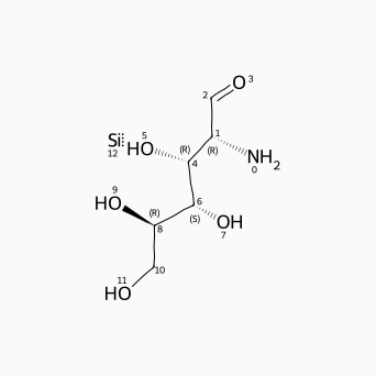 N[C@@H](C=O)[C@@H](O)[C@H](O)[C@H](O)CO.[Si]